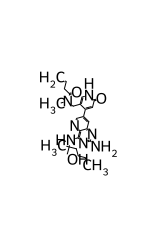 C=CCC(=O)N(C)Cc1c[nH]c(=O)cc1-c1cnc2c(NC(C)(CO)CCCC)nc(N)nc2c1